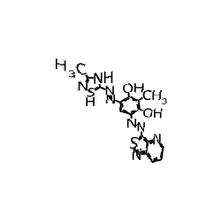 CC1=N[SH]=C(/N=N/c2cc(/N=N/c3snc4cccnc34)c(O)c(C)c2O)N1